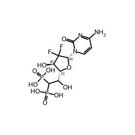 Nc1ccn([C@@H]2O[C@H](C(O)C(P(=O)(O)O)P(=O)(O)O)[C@@H](O)C2(F)F)c(=O)n1